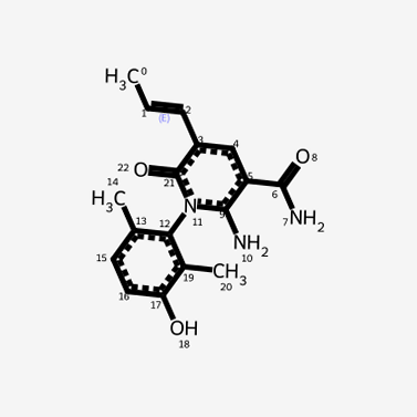 C/C=C/c1cc(C(N)=O)c(N)n(-c2c(C)ccc(O)c2C)c1=O